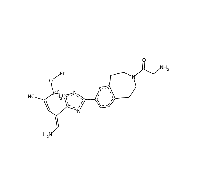 C=C(OCC)/C(C#N)=C\C(=C/N)c1nc(-c2ccc3c(c2)CCN(C(=O)CN)CC3)no1